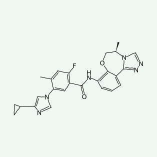 Cc1cc(F)c(C(=O)Nc2cccc3c2OC[C@@H](C)n2cnnc2-3)cc1-n1cnc(C2CC2)c1